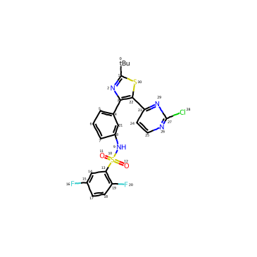 CC(C)(C)c1nc(-c2cccc(NS(=O)(=O)c3cc(F)ccc3F)c2)c(-c2ccnc(Cl)n2)s1